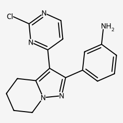 Nc1cccc(-c2nn3c(c2-c2ccnc(Cl)n2)CCCC3)c1